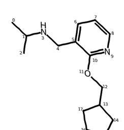 CC(C)NCc1cccnc1OCC1CCCC1